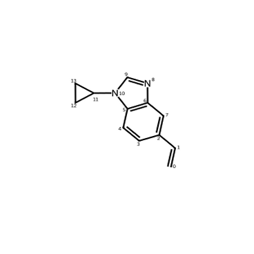 C=Cc1ccc2c(c1)ncn2C1CC1